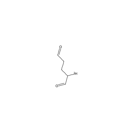 [2H]C(C=O)CCC=O